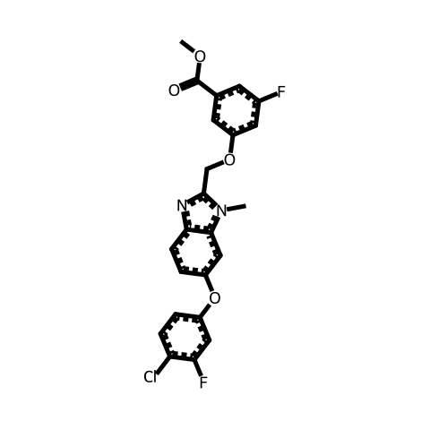 COC(=O)c1cc(F)cc(OCc2nc3ccc(Oc4ccc(Cl)c(F)c4)cc3n2C)c1